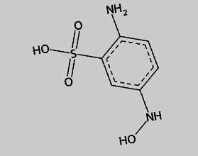 Nc1ccc(NO)cc1S(=O)(=O)O